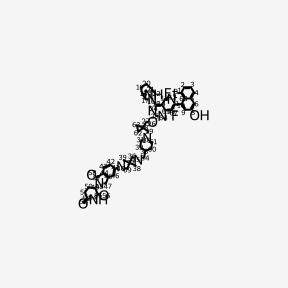 CCc1cccc2cc(O)cc(-c3ncc4c(N5CC6CCC(C5)N6)nc(OCC5(CN6CCC(CN7CC8(C7)CN(c7ccc9c(c7)CN(C7CCC(=O)NC7=O)C9=O)C8)CC6)CC5)nc4c3F)c12